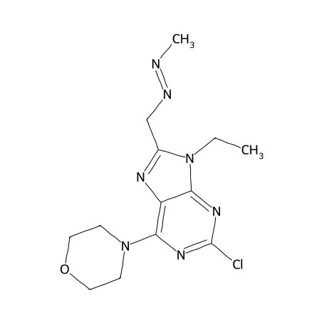 CCn1c(CN=NC)nc2c(N3CCOCC3)nc(Cl)nc21